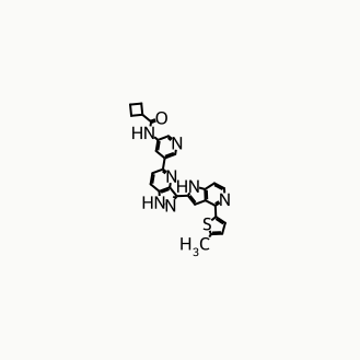 Cc1ccc(-c2nccc3[nH]c(-c4n[nH]c5ccc(-c6cncc(NC(=O)C7CCC7)c6)nc45)cc23)s1